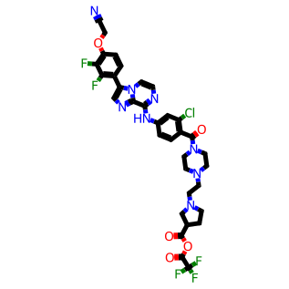 N#CCOc1ccc(-c2cnc3c(Nc4ccc(C(=O)N5CCN(CCN6CCC(C(=O)OC(=O)C(F)(F)F)C6)CC5)c(Cl)c4)nccn23)c(F)c1F